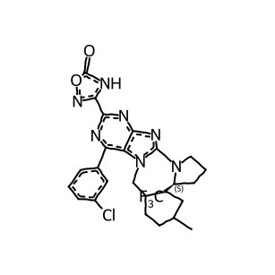 CC1CCC(Cn2c(N3CCC[C@H]3C(F)(F)F)nc3nc(-c4noc(=O)[nH]4)nc(-c4cccc(Cl)c4)c32)CC1